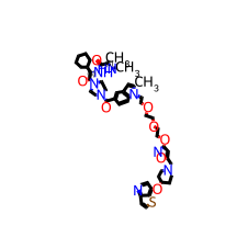 CN[C@@H](C)C(=O)N[C@H](C(=O)N1CCN(C(=O)c2ccc3c(c2)cc(C)n3CCOCCOCCOc2cc(CN3CCC(Oc4ccnc5ccsc45)CC3)on2)CC1)C1CCCCC1